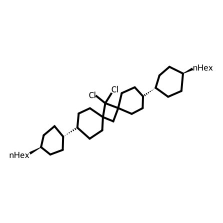 CCCCCC[C@H]1CC[C@H](C2CCC3(CC2)CC2(CCC([C@H]4CC[C@H](CCCCCC)CC4)CC2)C3(Cl)Cl)CC1